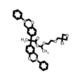 CCC1(COCCOC(C)OC(=O)C(C)(c2ccc3c(c2)CN(c2ccccc2)CO3)c2ccc3c(c2)CN(c2ccccc2)CO3)COC1